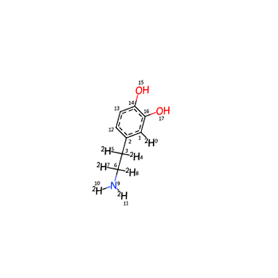 [2H]c1c(C([2H])([2H])C([2H])([2H])N([2H])[2H])ccc(O)c1O